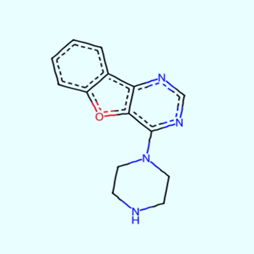 c1ccc2c(c1)oc1c(N3CCNCC3)ncnc12